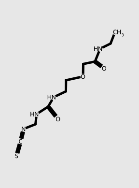 CCNC(=O)COCCNC(=O)NCN=C=S